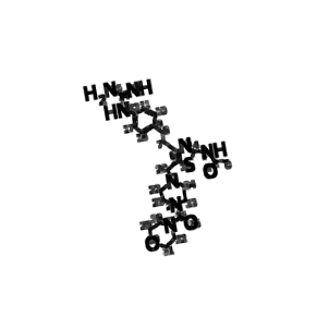 CC(=O)Nc1nc(CCc2ccc(NC(=N)N)cc2)c(CN2CCN(C(=O)N3CCOCC3)CC2)s1